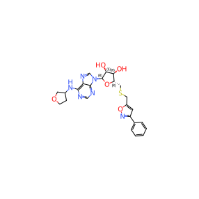 O[C@@H]1[C@H](O)[C@H](n2cnc3c(NC4CCOC4)ncnc32)O[C@H]1CSCc1cc(-c2ccccc2)no1